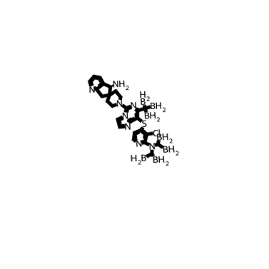 BC(B)N(c1nccc(Sc2c(C(B)(B)B)nc(N3CCC4(CC3)Cc3ncccc3[C@H]4N)n3ccnc23)c1Cl)C(B)B